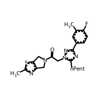 CCCCCc1nc(-c2ccc(F)c(C)c2)nn1CC(=O)N1Cc2nc(C)sc2C1